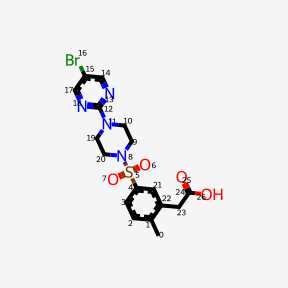 Cc1ccc(S(=O)(=O)N2CCN(c3ncc(Br)cn3)CC2)cc1CC(=O)O